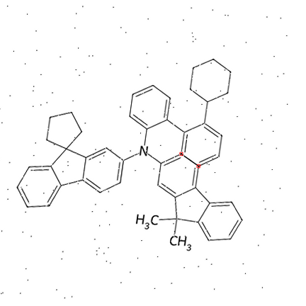 CC1(C)c2ccccc2-c2ccc(N(c3ccc4c(c3)C3(CCCC3)c3ccccc3-4)c3ccccc3-c3ccccc3C3CCCCC3)cc21